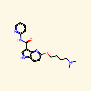 CN(C)CCCCOc1ccc2[nH]cc(C(=O)Nc3ccccn3)c2n1